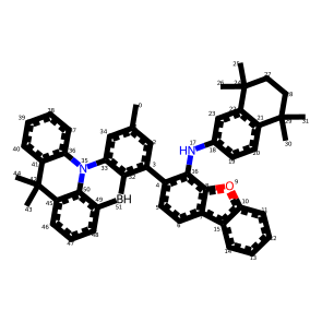 Cc1cc(-c2ccc3c(oc4ccccc43)c2Nc2ccc3c(c2)C(C)(C)CCC3(C)C)c2c(c1)N1c3ccccc3C(C)(C)c3cccc(c31)B2